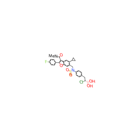 CNC(=O)c1c(-c2ccc(F)cc2)oc2cc(CN(c3ccc(CC(Cl)B(O)O)cc3)[SH](=O)=O)c(C3CC3)cc12